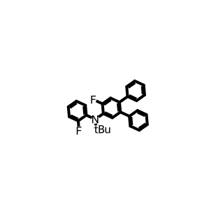 CC(C)(C)N(c1ccccc1F)c1cc(-c2ccccc2)c(-c2ccccc2)cc1F